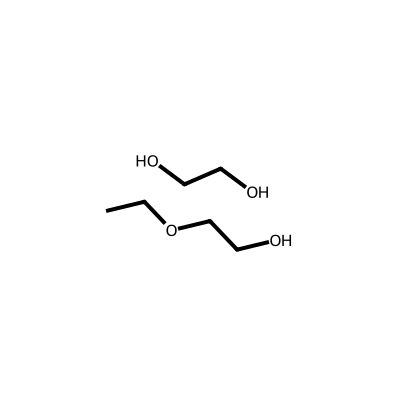 CCOCCO.OCCO